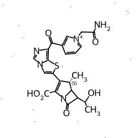 CC(O)C1C(=O)N2C(C(=O)O)=C(c3cn4cnc(C(=O)c5ccc[n+](CC(N)=O)c5)c4s3)[C@H](C)C12